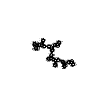 c1ccc(-n2c3cc(-c4ccc5c(c4)c4cc(C6CCC7(CC6)c6ccccc6-c6cc8c(cc67)c6ccc(-c7ccc9c(c7)c7ccccc7n9-c7ccc9oc%10ccccc%10c9c7)cc6n8-c6ccccc6)ccc4n5-c4ccc5c(c4)oc4ccccc45)ccc3c3cc4c(cc32)-c2ccccc2C42CCCCC2)cc1